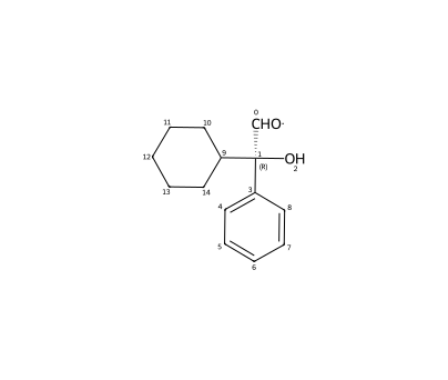 O=[C][C@](O)(c1ccccc1)C1CCCCC1